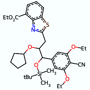 CCOC(=O)c1cccc2sc(CC(OC3CCCC3)C(O[Si](C)(C)C(C)(C)C)c3cc(OCC)c(C#N)c(OCC)c3)nc12